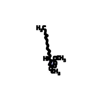 CCCCCCCCCCCCN/C(=C/C(=O)OC)C(=O)OC